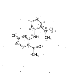 CC(=O)c1cnc(Cl)nc1Nc1cccnc1N(C)C